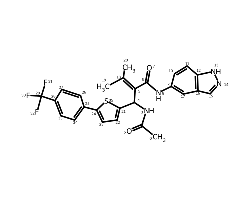 CC(=O)NC(C(C(=O)Nc1ccc2[nH]ncc2c1)=C(C)C)c1ccc(-c2ccc(C(F)(F)F)cc2)s1